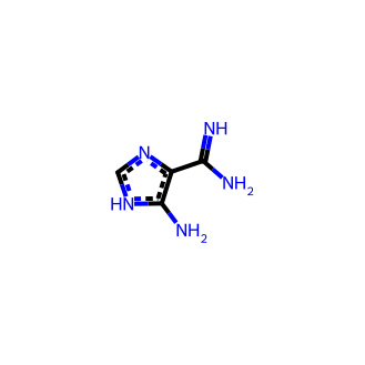 N=C(N)c1nc[nH]c1N